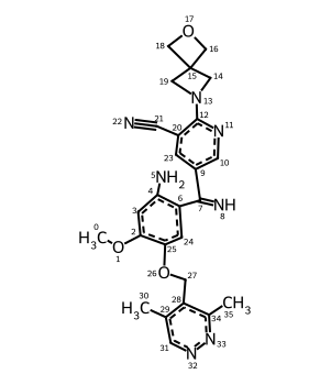 COc1cc(N)c(C(=N)c2cnc(N3CC4(COC4)C3)c(C#N)c2)cc1OCc1c(C)cnnc1C